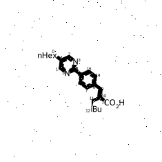 CCCCCCc1cnc(-c2ccc(C=C(C[C@H](C)CC)C(=O)O)cc2)nc1